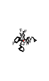 C[C@@H](OCc1ccccc1)c1cc(F)ccc1-n1nc(C(F)F)cc1C(O)c1cn(CC2CC2)nn1